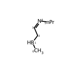 CBC/C=N\CCC